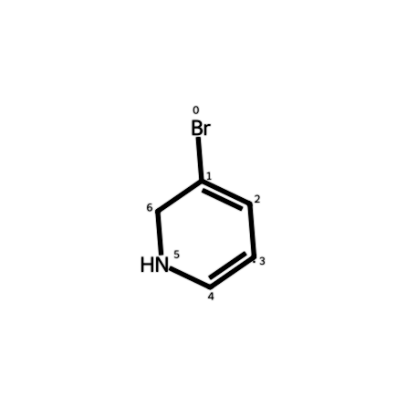 BrC1=C[C]=CNC1